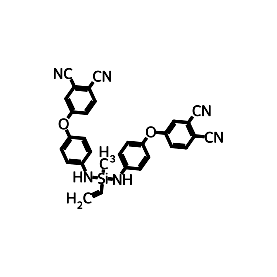 C=C[Si](C)(Nc1ccc(Oc2ccc(C#N)c(C#N)c2)cc1)Nc1ccc(Oc2ccc(C#N)c(C#N)c2)cc1